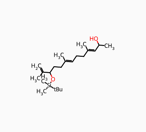 C=C(C)C(CC/C(C)=C/CC/C(C)=C/C(C)O)O[Si](C)(C)C(C)(C)C